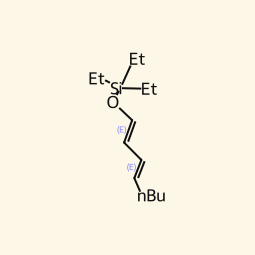 CCCC/C=C/C=C/O[Si](CC)(CC)CC